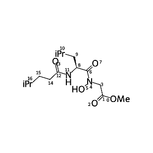 COC(=O)CN(O)C(=O)[C@H](CC(C)C)NC(=O)CCC(C)C